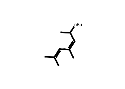 [CH2]CCCC(C)C=C(C)C=C([CH2])C